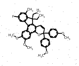 CCC1(CC)c2c(C)cc(F)cc2-c2c1c1c(c3cc(OC)c(OC)cc23)OC(c2ccc(OC)cc2)(c2ccc(OC)cc2)C=C1